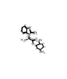 CCc1nc2ccccc2n1[C@H](C)C(=O)O[C@H]1CC(C)CCC1C(C)C